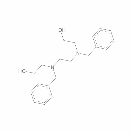 OCCN(CCN(CCO)Cc1ccccc1)Cc1ccccc1